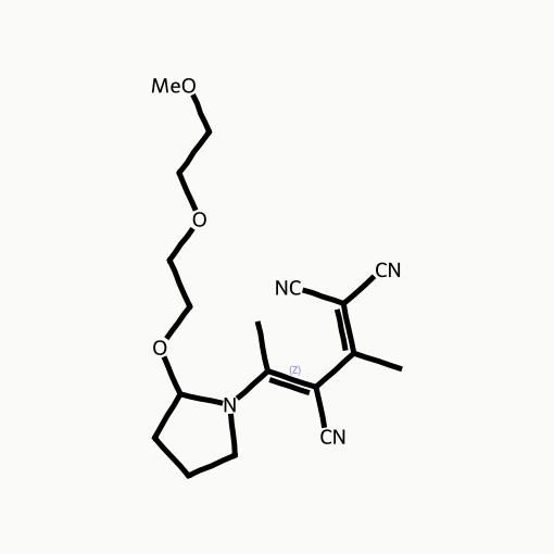 COCCOCCOC1CCCN1/C(C)=C(\C#N)C(C)=C(C#N)C#N